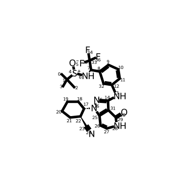 CC(C)(C)[S+]([O-])N[C@@H](c1cccc(Nc2nn([C@H]3CCCC[C@@H]3C#N)c3cc[nH]c(=O)c23)c1)C(F)(F)F